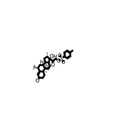 Cc1ccc(S(=O)(=O)OCC(=O)[C@@]2(O)[C@@H](C)C[C@H]3[C@@H]4C[C@H](F)C5=CC(=O)CC[C@]5(C)C4=CC[C@@]32C)cc1